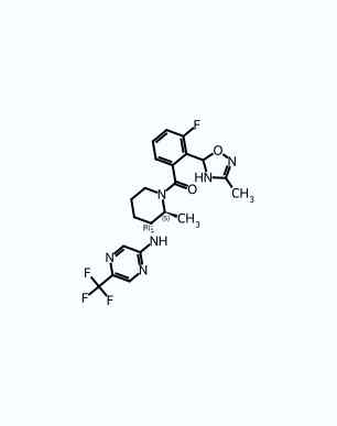 CC1=NOC(c2c(F)cccc2C(=O)N2CCC[C@@H](Nc3cnc(C(F)(F)F)cn3)[C@@H]2C)N1